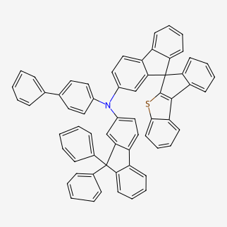 c1ccc(-c2ccc(N(c3ccc4c(c3)C(c3ccccc3)(c3ccccc3)c3ccccc3-4)c3ccc4c(c3)C3(c5ccccc5-4)c4ccccc4-c4c3sc3ccccc43)cc2)cc1